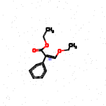 CCO/C=C(\C(=O)OCC)c1ccccc1